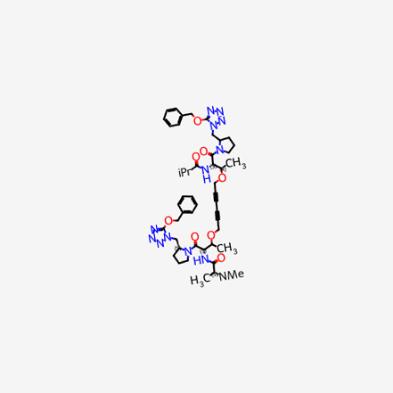 CN[C@@H](C)C(=O)N[C@H](C(=O)N1CCC[C@H]1Cn1nnnc1OCc1ccccc1)C(C)OCC#CC#CCO[C@H](C)[C@H](NC(=O)C(C)C)C(=O)N1CCCC1Cn1nnnc1OCc1ccccc1